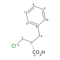 O=C(O)[C@H](CCl)Cc1ccccc1